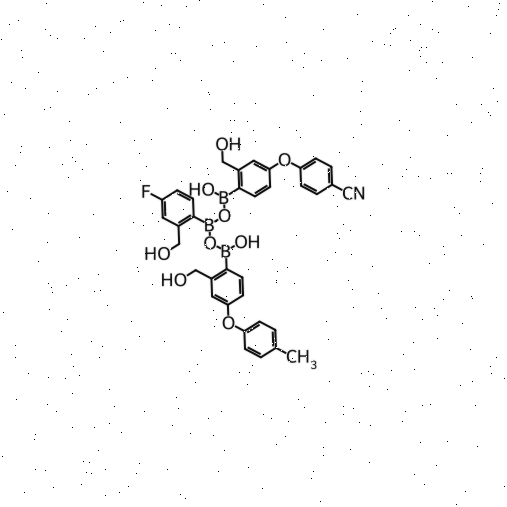 Cc1ccc(Oc2ccc(B(O)OB(OB(O)c3ccc(Oc4ccc(C#N)cc4)cc3CO)c3ccc(F)cc3CO)c(CO)c2)cc1